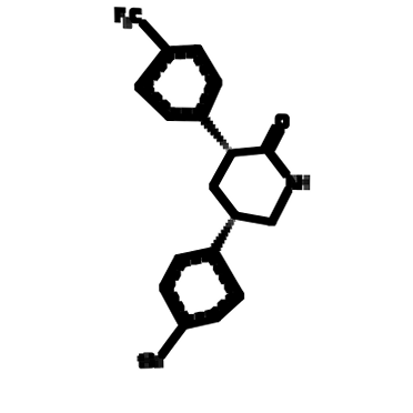 CC(C)(C)c1ccc([C@H]2CNC(=O)[C@@H](c3ccc(C(F)(F)F)cc3)C2)cc1